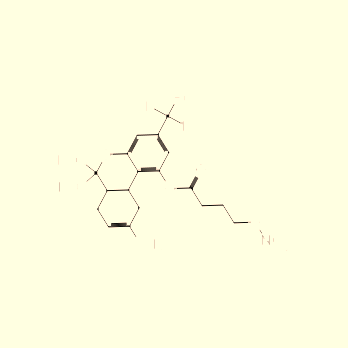 CCC(F)(F)c1cc(OC(=O)CCCO[N+](=O)[O-])c2c(c1)OC(C)(C)C1CC=C(C)CC21